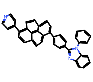 c1ccc(-n2c(-c3ccc(-c4ccc5ccc6c(-c7ccncc7)ccc7ccc4c5c76)cc3)nc3ccccc32)cc1